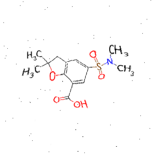 CN(C)S(=O)(=O)c1cc2c(c(C(=O)O)c1)OC(C)(C)C2